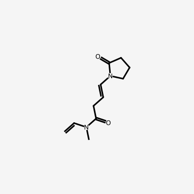 C=CN(C)C(=O)CC=CN1CCCC1=O